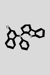 Clc1cc(N(c2ccccc2)c2cccc3c2sc2ccccc23)c2ccccc2c1